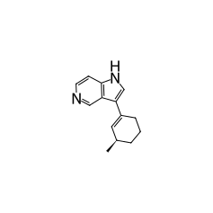 C[C@H]1C=C(c2c[nH]c3ccncc23)CCC1